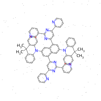 CC1(C)c2ccccc2N(c2cc(-c3cc(-c4ccccn4)nc(-c4cccnc4)n3)c3cc(N4c5ccccc5C(C)(C)c5ccccc54)cc(-c4cc(-c5ccccn5)nc(-c5cccnc5)n4)c3c2)c2ccccc21